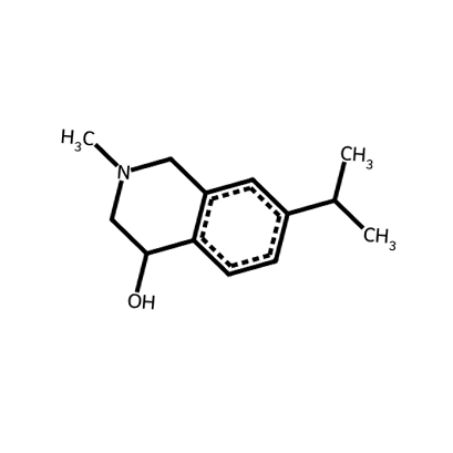 CC(C)c1ccc2c(c1)CN(C)CC2O